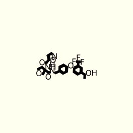 CC(O)c1ccc(Oc2ccc(CNC(=O)C3(NC(=O)c4ccno4)CCOC3)cc2)c(C(F)(F)F)c1